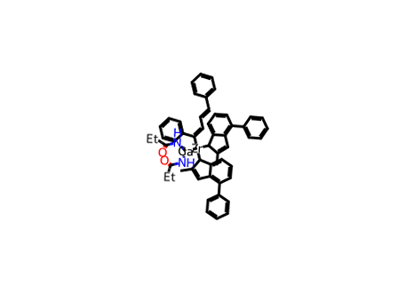 CCC(=O)[NH][Ga]([NH]C(=O)CC)[Zr]([C](=CC=Cc1ccccc1)c1ccccc1)([CH]1C(C)=Cc2c(-c3ccccc3)cccc21)[CH]1C(C)=Cc2c(-c3ccccc3)cccc21